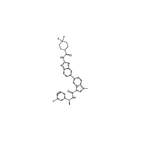 C[C@H](NC(=O)c1cn(C)c2ccc(-c3ccn4nc(NC(=O)C5CCC(F)(F)CC5)nc4c3)cc12)c1cc#cc(F)c1